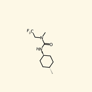 CN(CC(F)(F)F)C(=O)N[C@H]1CC[C@H](C)CC1